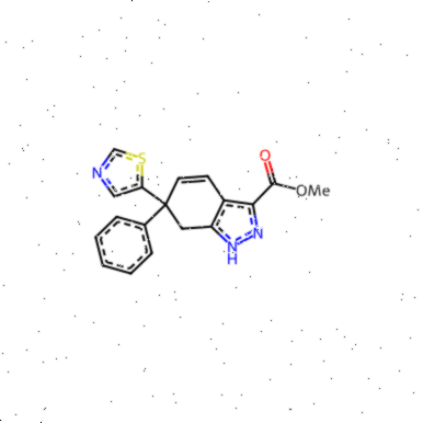 COC(=O)c1n[nH]c2c1C=CC(c1ccccc1)(c1cncs1)C2